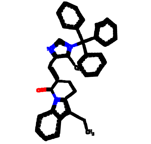 CCc1c2n(c3ccccc13)C(=O)/C(=C/c1ncn(C(c3ccccc3)(c3ccccc3)c3ccccc3)c1C)CC2